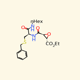 CCCCCCNC(=O)[C@H](CSCc1ccccc1)NC(=O)[C@H]1O[C@@H]1C(=O)OCC